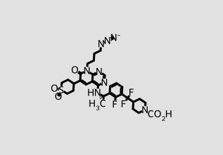 C[C@@H](Nc1ncnc2c1cc(C1CCS(=O)(=O)CC1)c(=O)n2CCCCN=[N+]=[N-])c1cccc(C(F)(F)C2CCN(C(=O)O)CC2)c1F